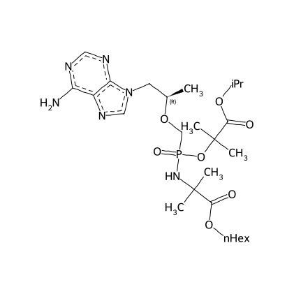 CCCCCCOC(=O)C(C)(C)NP(=O)(CO[C@H](C)Cn1cnc2c(N)ncnc21)OC(C)(C)C(=O)OC(C)C